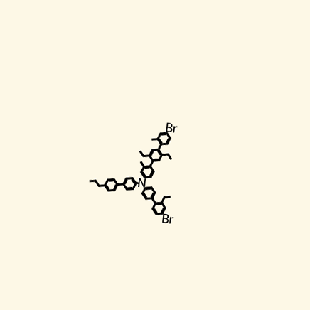 CCCc1ccc(-c2ccc(N(c3ccc(-c4ccc(Br)cc4CC)cc3)c3ccc(-c4cc(CC)c(-c5ccc(Br)cc5C)cc4CC)c(C)c3)cc2)cc1